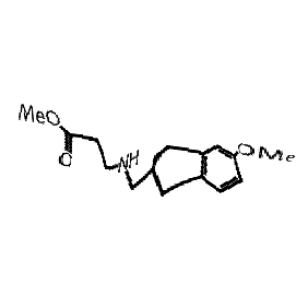 COC(=O)CCNCC1Cc2ccc(OC)cc2C1